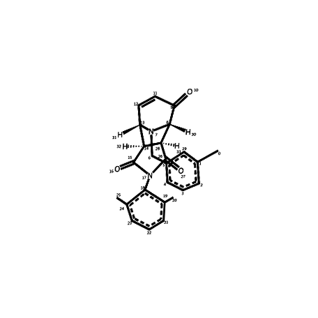 Cc1cccc(CN2[C@@H]3C(=O)C=C[C@H]2[C@@H]2C(=O)N(c4c(C)cccc4C)C(=O)[C@@H]23)c1